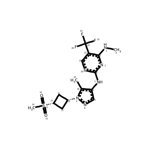 CNc1nc(Nc2cnn([C@H]3C[C@@H](S(C)(=O)=O)C3)c2C)ncc1C(F)(F)F